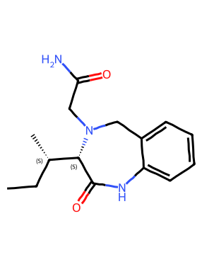 CC[C@H](C)[C@H]1C(=O)Nc2ccccc2CN1CC(N)=O